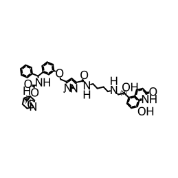 Cn1nc(C(=O)NCCCCNC[C@@H](O)c2ccc(O)c3[nH]c(=O)ccc23)cc1COc1cccc(C(NC(=O)O[C@H]2CN3CCC2CC3)c2ccccc2)c1